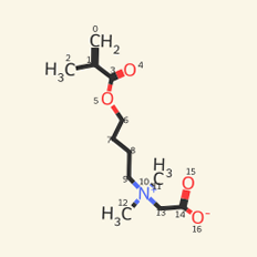 C=C(C)C(=O)OCCCC[N+](C)(C)CC(=O)[O-]